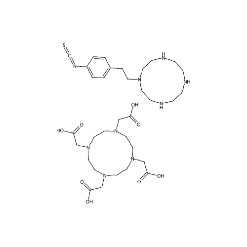 O=C(O)CN1CCN(CC(=O)O)CCN(CC(=O)O)CCN(CC(=O)O)CC1.S=C=Nc1ccc(CCN2CCNCCNCCNCC2)cc1